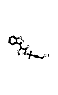 CSC(C(=O)NC(C)(C)C#CCO)c1noc2ccccc12